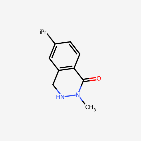 CC(C)c1ccc2c(c1)CNN(C)C2=O